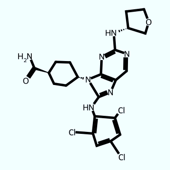 NC(=O)[C@H]1CC[C@H](n2c(Nc3c(Cl)cc(Cl)cc3Cl)nc3cnc(N[C@@H]4CCOC4)nc32)CC1